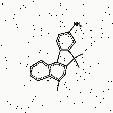 Cc1cc2c(c3ccccc13)-c1ccc(N)cc1C2(C)C